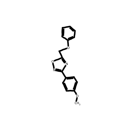 COc1ccc(-c2noc(COc3ccccc3)n2)cc1